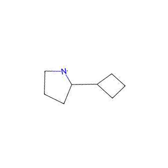 C1CC(C2CCC[N]2)C1